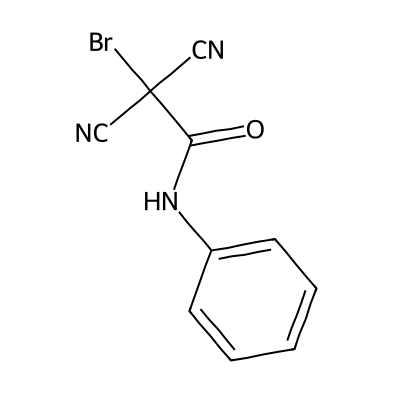 N#CC(Br)(C#N)C(=O)Nc1ccccc1